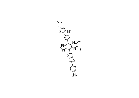 CCc1nc2c(-c3cc4sc(-c5ccc(N(C)C)cc5)cc4s3)c3nsnc3c(-c3cc4c(s3)c3sc(CC(C)C)cc3n4C)c2nc1CC